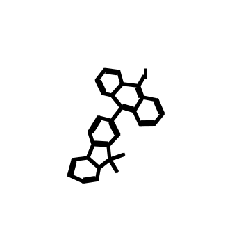 CC1(C)c2cc(C3=c4ccccc4=C(I)C4C=CC=CC34)ccc2C2C=CC=CC21